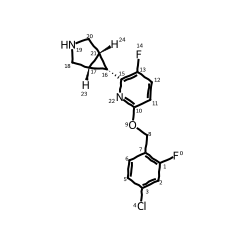 Fc1cc(Cl)ccc1COc1ccc(F)c([C@@H]2[C@@H]3CNC[C@@H]32)n1